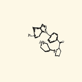 O=C(c1ccc(-n2ncc3cc(F)ccc32)cc1)C1CCCN1C1CCNC1